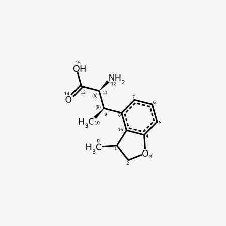 CC1COc2cccc([C@@H](C)[C@H](N)C(=O)O)c21